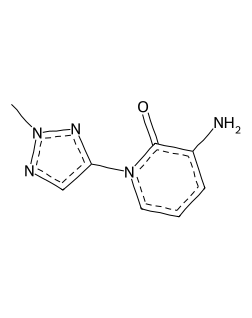 Cn1ncc(-n2cccc(N)c2=O)n1